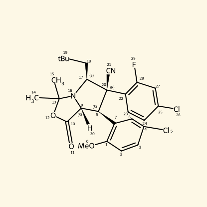 COc1ccc(Cl)cc1[C@H]1[C@@H]2C(=O)OC(C)(C)N2[C@@H](CC(C)(C)C)[C@]1(C#N)c1ccc(Cl)cc1F